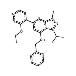 CCOc1nnccc1-c1cc(NCc2ccccn2)c2c(n1)c(C)nn2C(C)C